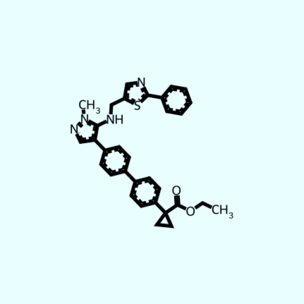 CCOC(=O)C1(c2ccc(-c3ccc(-c4cnn(C)c4NCc4cnc(-c5ccccc5)s4)cc3)cc2)CC1